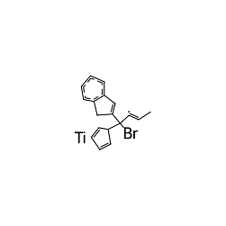 CC=[C]C(Br)(C1=Cc2ccccc2C1)C1C=CC=C1.[Ti]